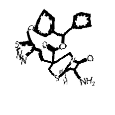 Cc1snnc1C=CC1(C(=O)OC(c2ccccc2)c2ccccc2)CS[C@@H]2C(N)C(=O)N2C1